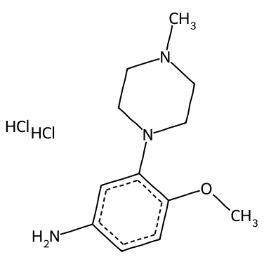 COc1ccc(N)cc1N1CCN(C)CC1.Cl.Cl